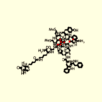 CSCC[C@H](NC(=O)[C@H](C)NC(=O)[C@H](Cc1c[nH]c2ccccc12)NC(=O)CN(C)C(=O)[C@H](Cc1c[nH]cn1)NC(=O)[C@H](Cc1c[nH]c2ccccc12)NC(=O)[C@@H](N)Cc1ccccc1)C(=O)N[C@@H](CCSC)C(=O)N[C@@H](Cc1ccc(O)cc1)C(=O)N[C@@H](CCCCN)C(=O)NCC(=O)NCC(=O)NCC(=O)N[C@@H](CCCCNC(=O)CCCC[C@@H]1SC[C@@H]2NC(=O)N[C@@H]21)C(N)=O